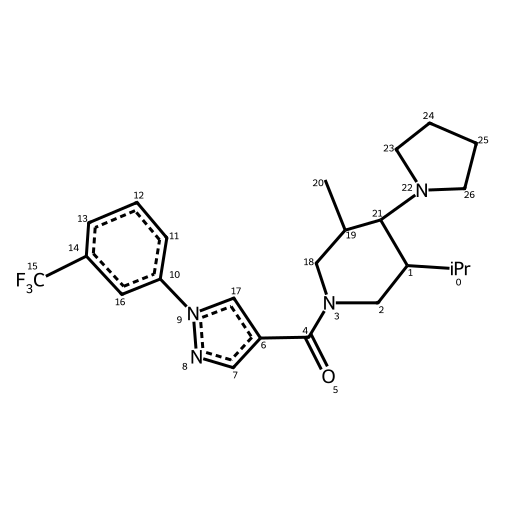 CC(C)C1CN(C(=O)c2cnn(-c3cccc(C(F)(F)F)c3)c2)CC(C)C1N1CCCC1